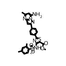 COC(=O)c1sc(-c2ccc(-c3cc4nc(C)cc(N)n4n3)cc2)nc1NP(=O)(OC)c1ccc(C)cc1C